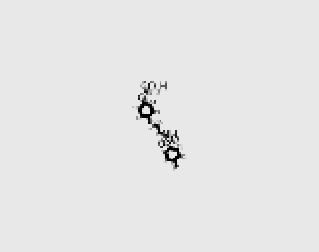 Cc1ccc(S(=O)(=O)NCCSc2ccc(OCC(=O)O)cc2)cc1